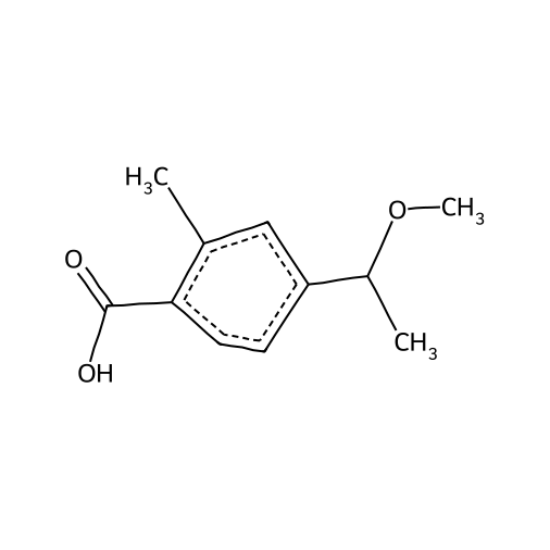 COC(C)c1ccc(C(=O)O)c(C)c1